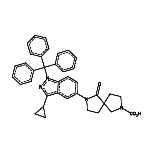 O=C(O)N1CCC2(CCN(c3ccc4c(c3)c(C3CC3)nn4C(c3ccccc3)(c3ccccc3)c3ccccc3)C2=O)C1